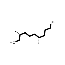 CC(C)CCC[C@H](C)CCC[C@@H](C)CO